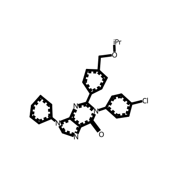 CC(C)OCc1ccc(-c2nc3c(ncn3-c3ccccc3)c(=O)n2-c2ccc(Cl)cc2)cc1